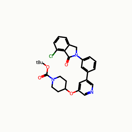 CC(C)(C)OC(=O)N1CCC(Oc2cncc(-c3cccc(N4Cc5cccc(Cl)c5C4=O)c3)c2)CC1